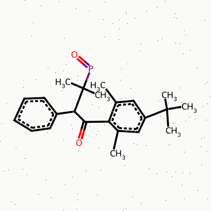 Cc1cc(C(C)(C)C)cc(C)c1C(=O)C(c1ccccc1)C(C)(C)P=O